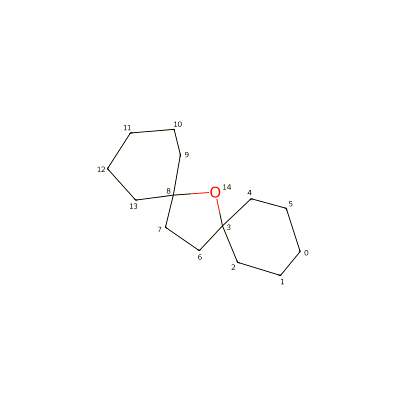 C1CCC2(CC1)CCC1(CCCCC1)O2